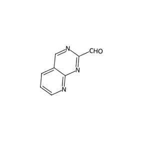 O=Cc1ncc2cccnc2n1